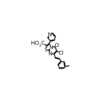 Cc1cccc(/C=C/c2nc3sc(C(=O)O)c(-c4cccnc4)n3c(=O)c2Cl)c1